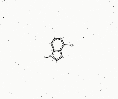 Cn1ccc2c(Cl)nccc21